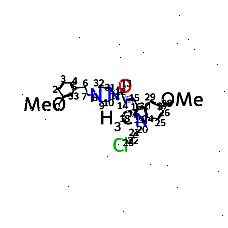 COc1cccc(CCN2CCN(C(=O)/C=C/c3c(C)n(CCCCl)c4ccc(OC)cc34)CC2)c1